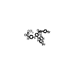 CC(C)c1ccc2c(Nc3cc(C(=O)NNc4ccc(Br)cc4)ccc3Sc3ccc(NC(=O)OCC(Cl)(Cl)Cl)cc3)ncnc2n1